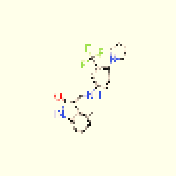 Cc1cccc2c1/C(=C\Nc1ccc(N3CCCC3)c(C(F)(F)F)c1)C(=O)N2